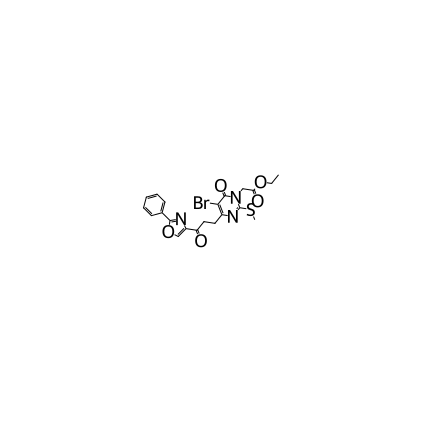 CCOC(=O)Cn1c(SC)nc(CCC(=O)c2coc(-c3ccccc3)n2)c(Br)c1=O